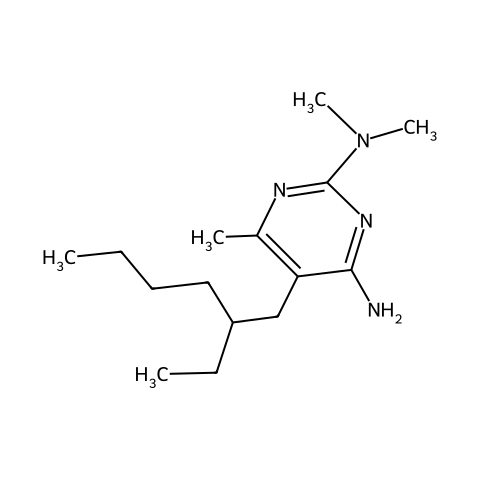 CCCCC(CC)Cc1c(C)nc(N(C)C)nc1N